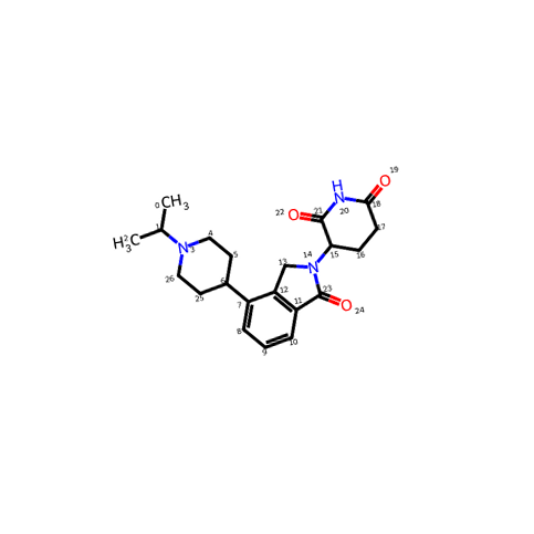 CC(C)N1CCC(c2cccc3c2CN(C2CCC(=O)NC2=O)C3=O)CC1